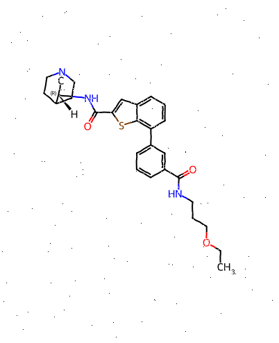 CCOCCCNC(=O)c1cccc(-c2cccc3cc(C(=O)N[C@H]4CN5CCC4CC5)sc23)c1